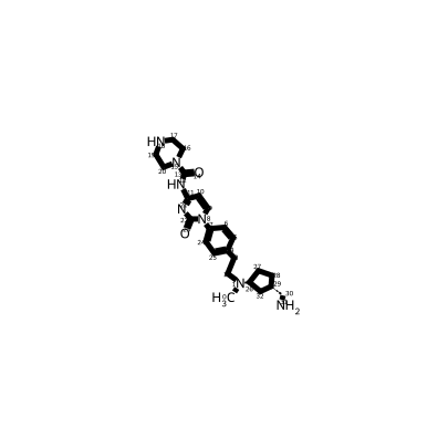 CN(CCc1ccc(-n2ccc(NC(=O)N3CCNCC3)nc2=O)cc1)[C@@H]1CC[C@H](CN)C1